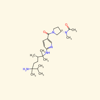 CC(=O)N(C)[C@H]1CCN(C(=O)c2ccc(NC(C)(C)C(C)CCC(C)(N)C(C)C)nc2)C1